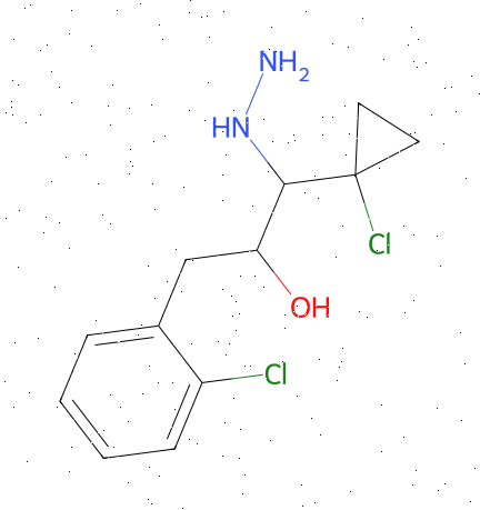 NNC(C(O)Cc1ccccc1Cl)C1(Cl)CC1